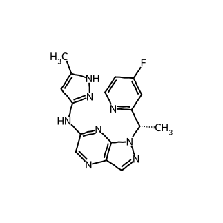 Cc1cc(Nc2cnc3cnn([C@@H](C)c4cc(F)ccn4)c3n2)n[nH]1